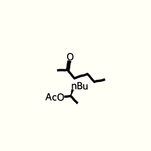 CCCCC(C)=O.CCCC[C@@H](C)OC(C)=O